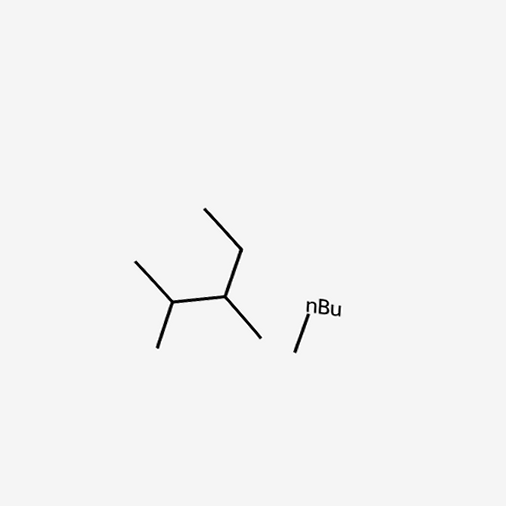 CCC(C)C(C)C.CCCCC